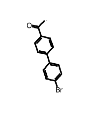 [CH2]C(=O)c1ccc(-c2ccc(Br)cc2)cc1